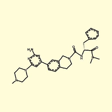 CN1CCN(c2cc(-c3ccc4c(c3)CN(C(=O)N[C@H](Cc3ccccc3)C(=O)N(C)C)CC4)nc(N)n2)CC1